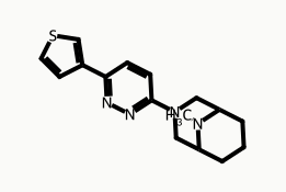 CN1C2CCCC1CN(c1ccc(-c3ccsc3)nn1)C2